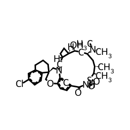 C[C@@H]1[C@@H](C)C[C@H](N(C)C)C[C@@H](O)[C@@H]2CC[C@H]2CN2C[C@@]3(CCCc4cc(Cl)ccc43)COc3ccc(cc32)C(=O)NS1(=O)=O